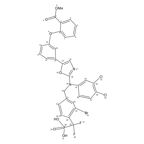 COC(=O)c1ccccc1Oc1cccc(-c2cnc(N(Cc3ccc(C(F)(F)P(=O)(O)O)c(Br)c3)c3ccc(Cl)c(Cl)c3)o2)c1